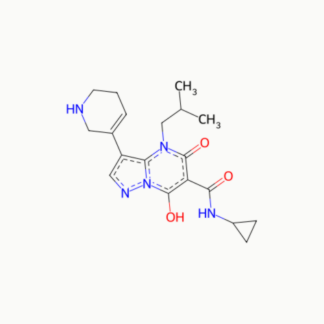 CC(C)Cn1c(=O)c(C(=O)NC2CC2)c(O)n2ncc(C3=CCCNC3)c12